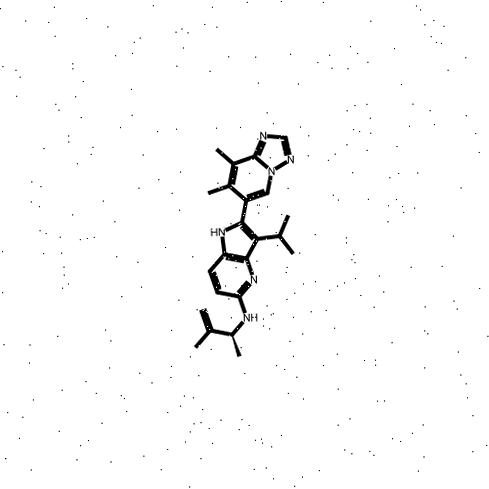 C=C(C)[C@H](C)Nc1ccc2[nH]c(-c3cn4ncnc4c(C)c3C)c(C(C)C)c2n1